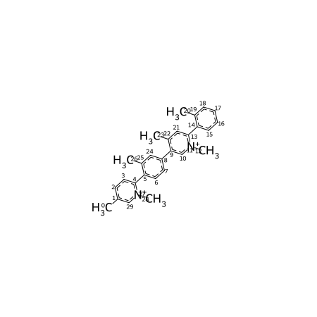 Cc1ccc(-c2ccc(-c3c[n+](C)c(-c4ccccc4C)cc3C)cc2C)[n+](C)c1